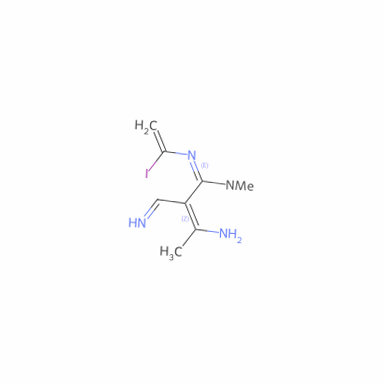 C=C(I)/N=C(NC)\C(C=N)=C(\C)N